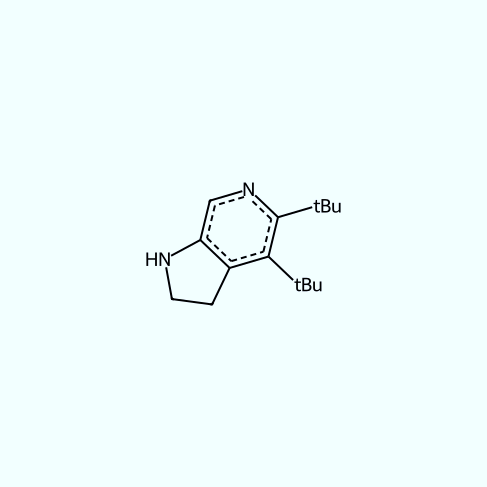 CC(C)(C)c1ncc2c(c1C(C)(C)C)CCN2